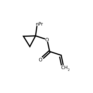 C=CC(=O)OC1(CCC)CC1